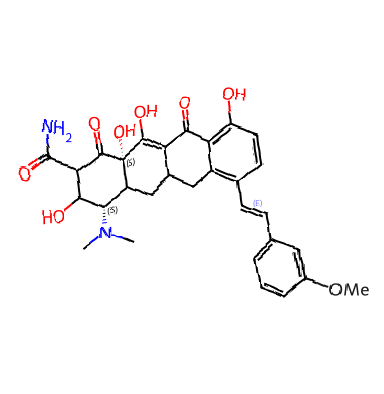 COc1cccc(/C=C/c2ccc(O)c3c2CC2CC4[C@H](N(C)C)C(O)C(C(N)=O)C(=O)[C@@]4(O)C(O)=C2C3=O)c1